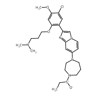 CC[S+]([O-])N1CCCN(c2ccn3cc(-c4cc(Cl)c(OC)cc4OCCCN(C)C)nc3c2)CC1